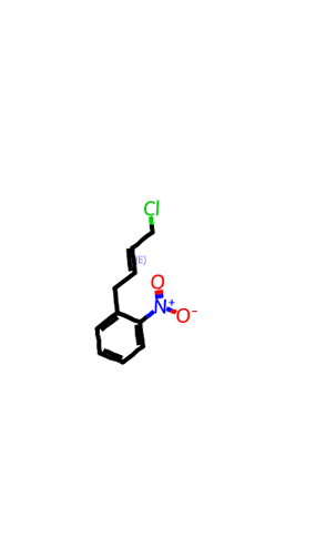 O=[N+]([O-])c1ccccc1C/C=C/CCl